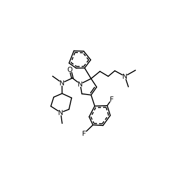 CN(C)CCCC1(c2ccccc2)C=C(c2cc(F)ccc2F)CN1C(=O)N(C)C1CCN(C)CC1